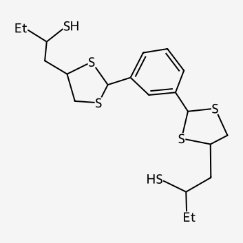 CCC(S)CC1CSC(c2cccc(C3SCC(CC(S)CC)S3)c2)S1